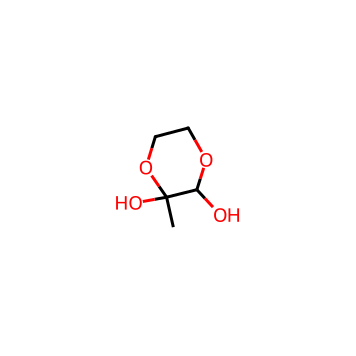 CC1(O)OCCOC1O